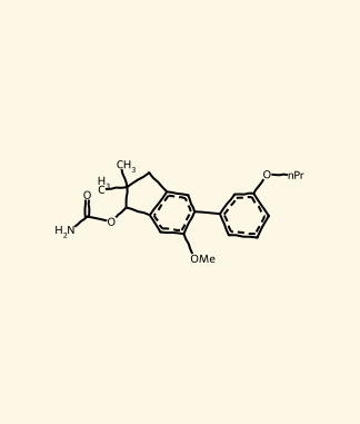 CCCOc1cccc(-c2cc3c(cc2OC)C(OC(N)=O)C(C)(C)C3)c1